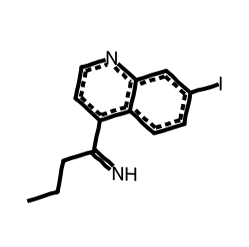 CCCC(=N)c1ccnc2cc(I)ccc12